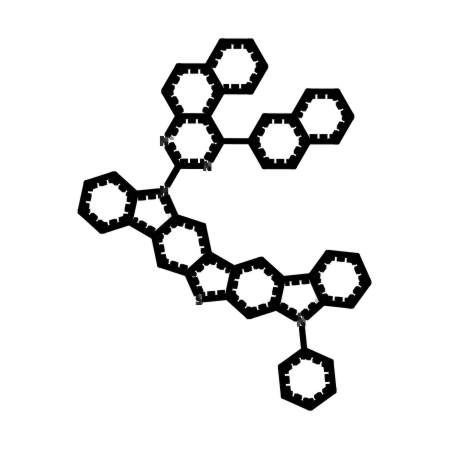 c1ccc(-n2c3ccccc3c3cc4c(cc32)sc2cc3c5ccccc5n(-c5nc(-c6ccc7ccccc7c6)c6c(ccc7ccccc76)n5)c3cc24)cc1